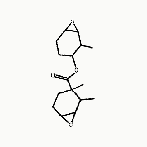 CC1C(OC(=O)C2(C)CCC3OC3C2C)CCC2OC21